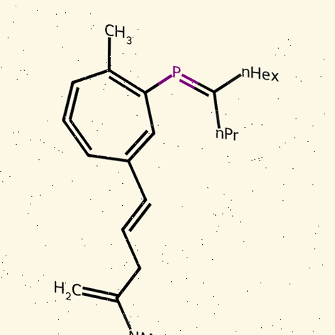 C=C(C/C=C/C1=CC(/P=C(\CCC)CCCCCC)=C(C)C=C=C1)NC